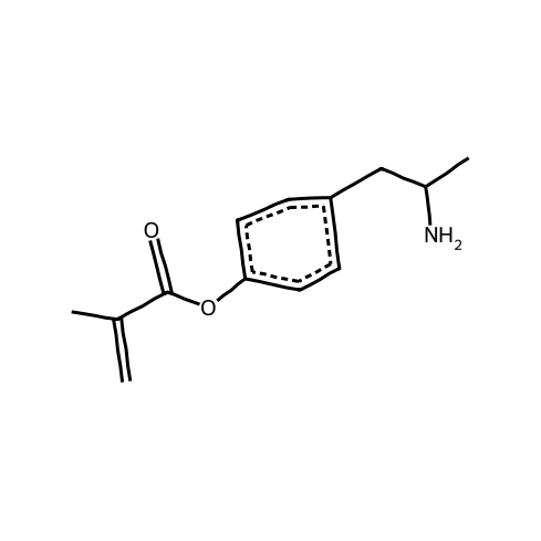 C=C(C)C(=O)Oc1ccc(CC(C)N)cc1